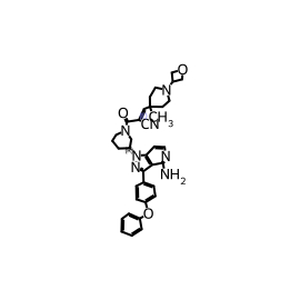 CC1(/C=C(\C#N)C(=O)N2CCC[C@@H](n3nc(-c4ccc(Oc5ccccc5)cc4)c4c(N)nccc43)C2)CCN(C2COC2)CC1